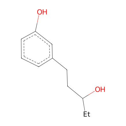 CCC(O)CCc1cccc(O)c1